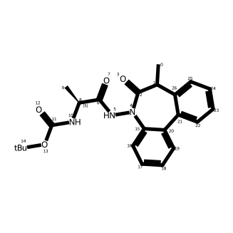 CC1C(=O)N(NC(=O)[C@H](C)NC(=O)OC(C)(C)C)c2ccccc2-c2ccccc21